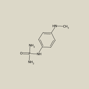 CNc1ccc(NP(N)(N)=O)cc1